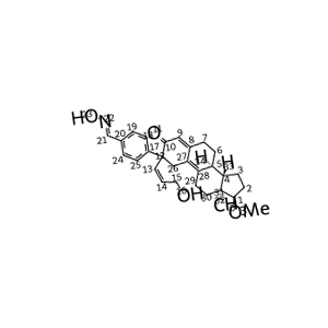 CO[C@@H]1CC[C@H]2[C@@H]3CCC4=CC(=O)C(/C=C\CO)(c5ccc(C=NO)cc5)CC4=C3CC[C@]12C